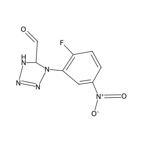 O=CC1NN=NN1c1cc([N+](=O)[O-])ccc1F